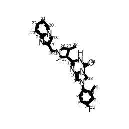 Cc1cc(F)ccc1N1C=C2N=C(C3CN(Cc4cn5ccccc5n4)CC3C)NC(=O)N2C1